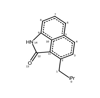 CC(C)Cc1ccc2cccc3c2c1C(=O)N3